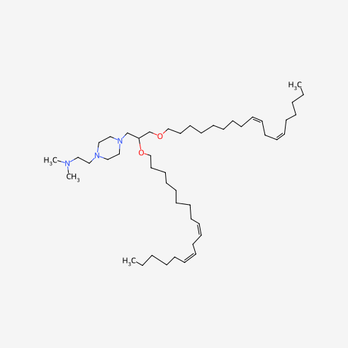 CCCCC/C=C\C/C=C\CCCCCCCCOCC(CN1CCN(CCN(C)C)CC1)OCCCCCCCC/C=C\C/C=C\CCCCC